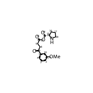 COc1cccc(C(=O)CCC(=O)OC(=O)[C@@H]2CCCN2)c1